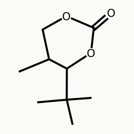 CC1COC(=O)OC1C(C)(C)C